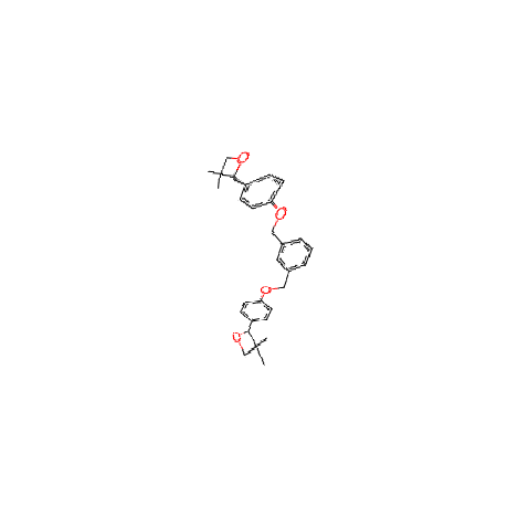 CC1(C)COC1c1ccc(OCc2cccc(COc3ccc(C4OCC4(C)C)cc3)c2)cc1